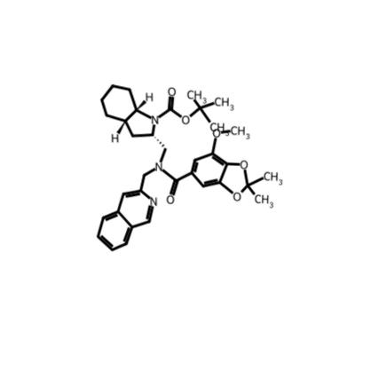 COc1cc(C(=O)N(Cc2cc3ccccc3cn2)C[C@@H]2C[C@@H]3CCCC[C@@H]3N2C(=O)OC(C)(C)C)cc2c1OC(C)(C)O2